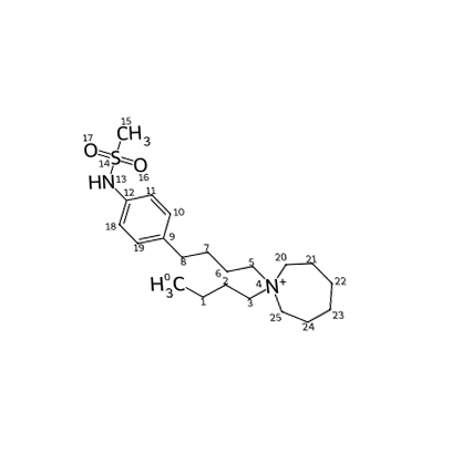 CCCC[N+]1(CCCCc2ccc(NS(C)(=O)=O)cc2)CCCCCC1